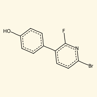 Oc1ccc(-c2ccc(Br)nc2F)cc1